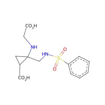 O=C(O)CNC1(CNS(=O)(=O)c2ccccc2)CC1C(=O)O